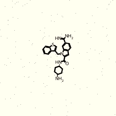 N=C(N)c1ccc2cc(C(=O)N[C@H]3CC[C@H](N)CC3)n(Cc3csc4ccccc34)c2c1